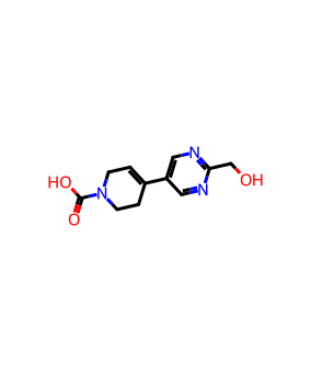 O=C(O)N1CC=C(c2cnc(CO)nc2)CC1